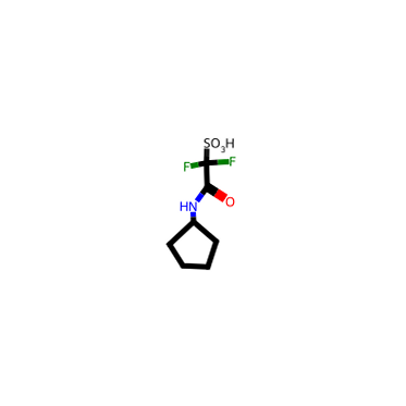 O=C(NC1CCCC1)C(F)(F)S(=O)(=O)O